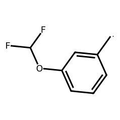 [CH2]c1cccc(OC(F)F)c1